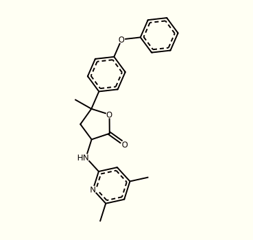 Cc1cc(C)nc(NC2CC(C)(c3ccc(Oc4ccccc4)cc3)OC2=O)c1